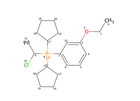 CCOc1cccc([PH]([CH](Cl)[Pd])(C2CCCC2)C2CCCC2)c1